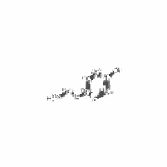 [15NH2][13CH2][13CH2][13c]1[13cH][13cH][13c](O)[13cH][13cH]1